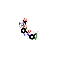 CC1(NS(=O)(=O)c2cccc(C(=O)Nc3ccc(F)c(C(F)(F)F)c3)c2F)COC1